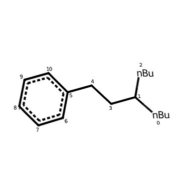 CCCCC(CCCC)CCc1cc[c]cc1